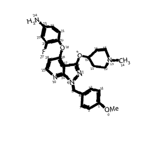 COc1ccc(Cn2nc(OC3CCN(C)CC3)c3c(Oc4ccc(N)cc4F)ccnc32)cc1